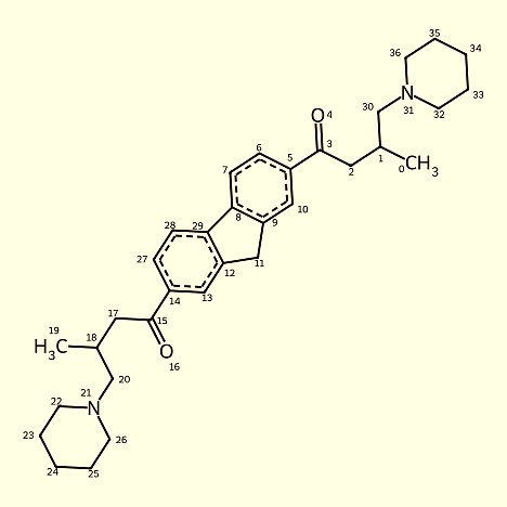 CC(CC(=O)c1ccc2c(c1)Cc1cc(C(=O)CC(C)CN3CCCCC3)ccc1-2)CN1CCCCC1